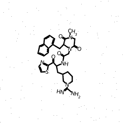 CN1CC(=O)N(CC(=O)NC(CC2CCCN(C(=N)N)C2)C(=O)c2nccs2)C(Cc2cccc3ccccc23)C1=O